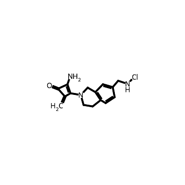 C=C1C(=O)C(N)=C1N1CCc2ccc(CNCl)cc2C1